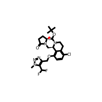 C[C@@H]1CCC(=O)N1C[C@@H]1c2c(OCc3nnn(C)c3C(F)F)ccc(Cl)c2CCN1C(=O)OC(C)(C)C